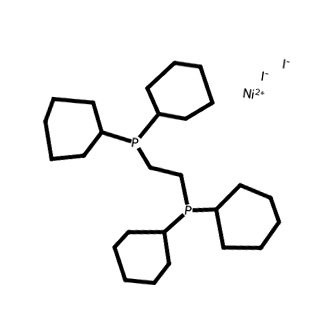 C1CCC(P(CCP(C2CCCCC2)C2CCCCC2)C2CCCCC2)CC1.[I-].[I-].[Ni+2]